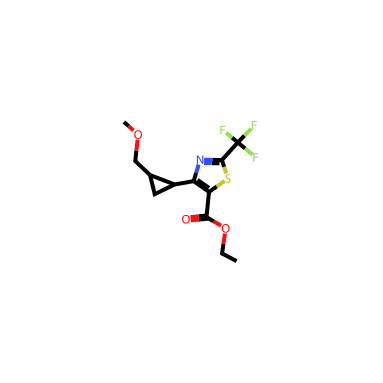 CCOC(=O)c1sc(C(F)(F)F)nc1C1CC1COC